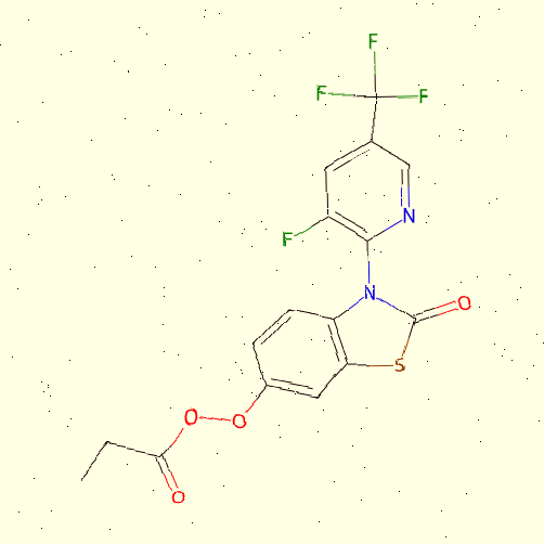 CCC(=O)OOc1ccc2c(c1)sc(=O)n2-c1ncc(C(F)(F)F)cc1F